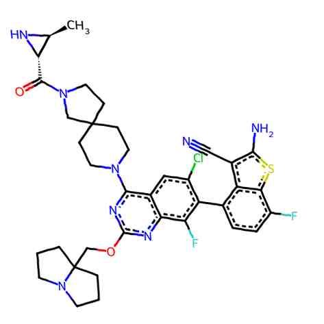 C[C@@H]1N[C@H]1C(=O)N1CCC2(CCN(c3nc(OCC45CCCN4CCC5)nc4c(F)c(-c5ccc(F)c6sc(N)c(C#N)c56)c(Cl)cc34)CC2)C1